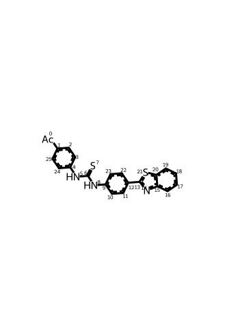 CC(=O)c1ccc(NC(=S)Nc2ccc(-c3nc4ccccc4s3)cc2)cc1